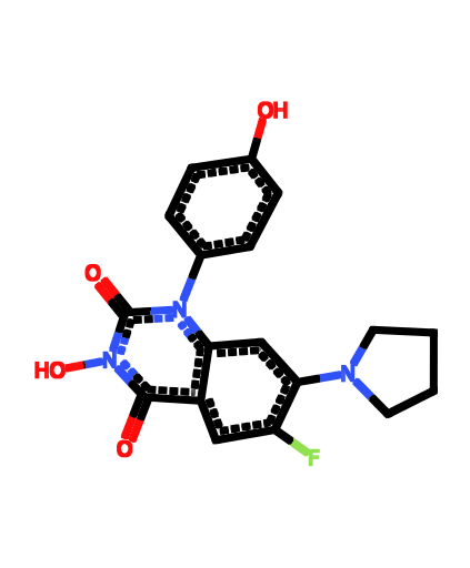 O=c1c2cc(F)c(N3CCCC3)cc2n(-c2ccc(O)cc2)c(=O)n1O